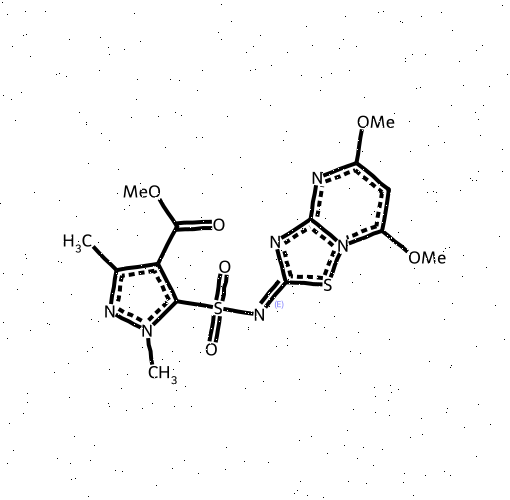 COC(=O)c1c(C)nn(C)c1S(=O)(=O)/N=c1\nc2nc(OC)cc(OC)n2s1